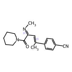 C/N=C(\C=C(/C)c1ccc(C#N)cc1)C(=O)N1CCCCC1